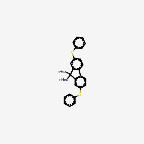 CCCCCCC1(CCCCCC)c2cc(Sc3ccccc3)ccc2-c2ccc(Sc3ccccc3)cc21